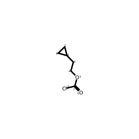 O=C(Cl)OCCC1CC1